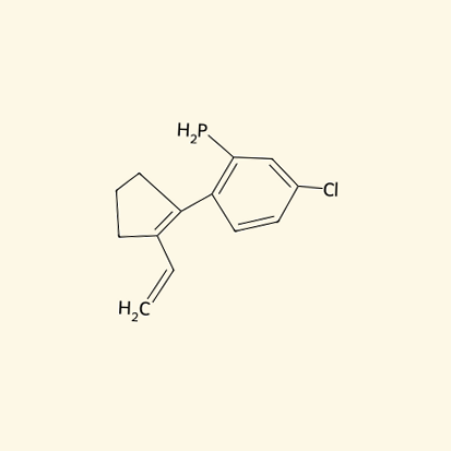 C=CC1=C(c2ccc(Cl)cc2P)CCC1